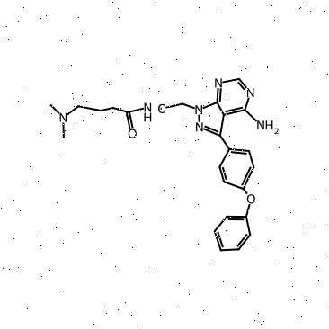 CN(C)CCCC(=O)NCCn1nc(-c2ccc(Oc3ccccc3)cc2)c2c(N)ncnc21